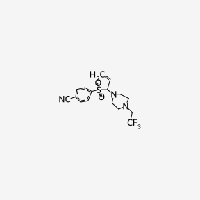 C=CC(N1CCN(CC(F)(F)F)CC1)S(=O)(=O)c1ccc(C#N)cc1